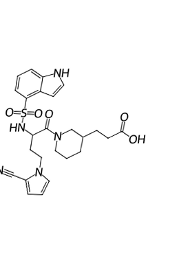 N#Cc1cccn1CCC(NS(=O)(=O)c1cccc2[nH]ccc12)C(=O)N1CCCC(CCC(=O)O)C1